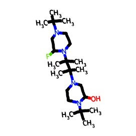 CC(C)(C)N1CCN(C(C)(C)C(C)(C)N2CCN(C(C)(C)C)C(O)C2)C(F)C1